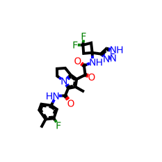 Cc1ccc(NC(=O)c2c(C)c(C(=O)C(=O)NC3(c4c[nH]nn4)CC(F)(F)C3)c3n2CCC3)cc1F